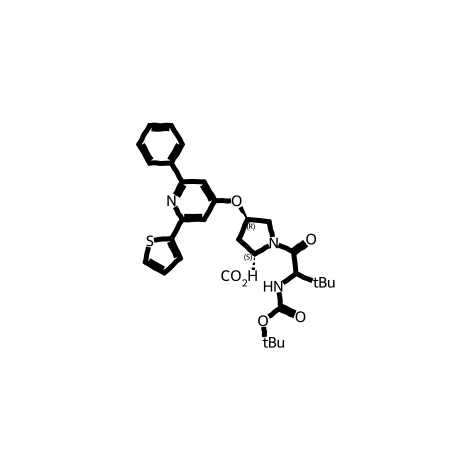 CC(C)(C)OC(=O)NC(C(=O)N1C[C@H](Oc2cc(-c3ccccc3)nc(-c3cccs3)c2)C[C@H]1C(=O)O)C(C)(C)C